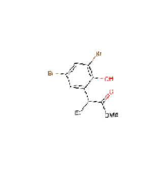 CCC(C(=O)OC)c1cc(Br)cc(Br)c1O